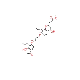 CCCc1c(OCCCOc2ccc3c(c2CCC)OC(CCC(=O)OC)CC3O)ccc(C(C)=O)c1O